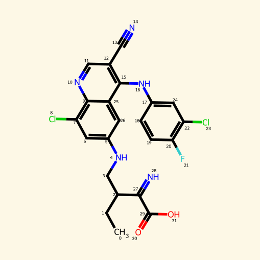 CCC(CNc1cc(Cl)c2ncc(C#N)c(Nc3ccc(F)c(Cl)c3)c2c1)C(=N)C(=O)O